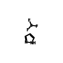 FB(F)F.c1cn[nH]c1